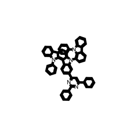 c1ccc(-c2cc(-c3ccc4c5c(ccc6c7ccccc7n(-c7ccccc7)c65)n(-c5cccc6c7ccccc7n(-c7ccccc7)c56)c4c3)nc(-c3ccccc3)n2)cc1